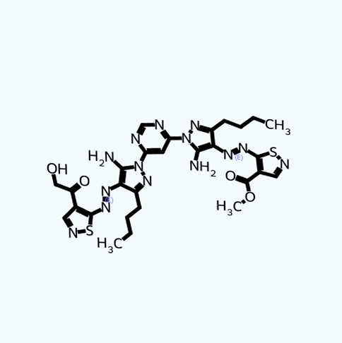 CCCCc1nn(-c2cc(-n3nc(CCCC)c(/N=N/c4sncc4C(=O)OC)c3N)ncn2)c(N)c1/N=N/c1sncc1C(=O)CO